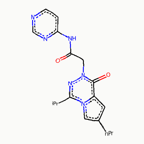 CCCc1cc2c(=O)n(CC(=O)Nc3ccncn3)nc(C(C)C)n2c1